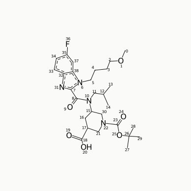 COCCCCn1c(C(=O)N(CC(C)C)C2CC(C(=O)O)CN(C(=O)OC(C)(C)C)C2)nc2ccc(F)cc21